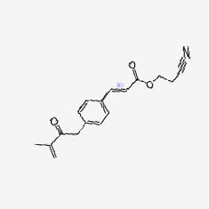 C=C(C)C(=O)Cc1ccc(/C=C/C(=O)OCCC#N)cc1